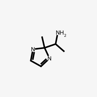 CC(N)C1(C)N=CC=N1